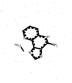 CS(=O)(=O)O.Nc1[nH]c2cccnc2c2ncnc1-2